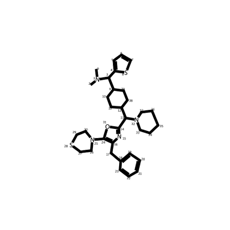 CN(C)C(c1cccs1)C1CCC(C(c2nc(Cc3ccccc3)c(N3CCSCC3)o2)N2CCCCC2)CC1